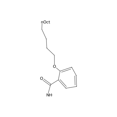 CCCCCCCCCCCCOc1ccccc1C([NH])=O